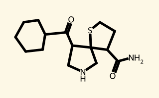 NC(=O)C1CCSC12CNCC2C(=O)C1CCCCC1